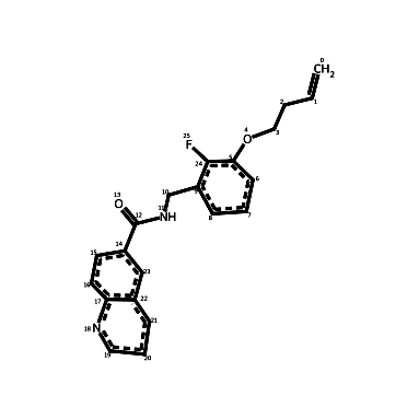 C=CCCOc1cccc(CNC(=O)c2ccc3ncccc3c2)c1F